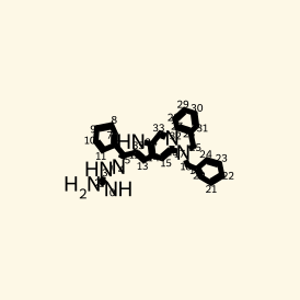 N=C(N)NN=C(c1ccccc1)c1cc2cc(N(Cc3ccccc3)Cc3ccccc3)ncc2[nH]1